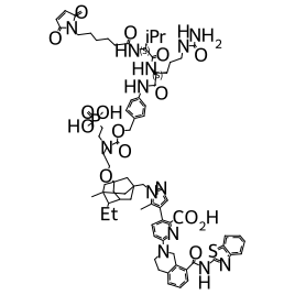 CCC1C2CC3(Cn4ncc(-c5ccc(N6CCc7cccc(C(=O)Nc8nc9ccccc9s8)c7C6)nc5C(=O)O)c4C)CC(OCCN(CCP(=O)(O)O)C(=O)OCc4ccc(NC(=O)[C@H](CCCNC(N)=O)NC(=O)[C@@H](NC(=O)CCCCCN5C(=O)C=CC5=O)C(C)C)cc4)(C2)CC1(C)C3